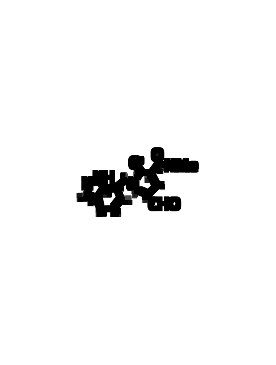 CNC(=O)c1cc(C=O)cn(Cc2cccc3cn[nH]c23)c1=O